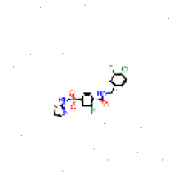 O=C(NCc1ccc(Cl)c(F)c1)c1ccc(S(=O)(=O)Nc2nccs2)cc1F